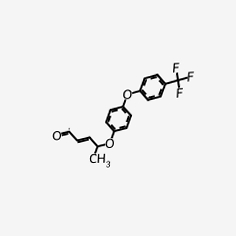 CC(C=C[C]=O)Oc1ccc(Oc2ccc(C(F)(F)F)cc2)cc1